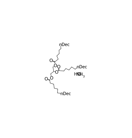 CCCCCCCCCCCCCCCC(=O)OCC(COC(=O)CCCCCCCCCCCCCCC)OC(=O)CCCCCCCCCCCCCCC.Cl.N